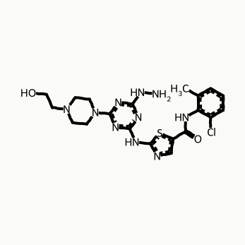 Cc1cccc(Cl)c1NC(=O)c1cnc(Nc2nc(NN)nc(N3CCN(CCO)CC3)n2)s1